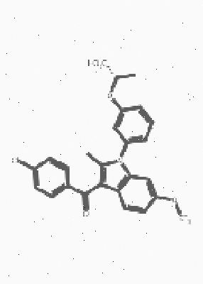 Cc1c(C(=O)c2ccc(Cl)cc2)c2ccc(OC(F)(F)F)cc2n1-c1cccc(O[C@@H](C)C(=O)O)c1